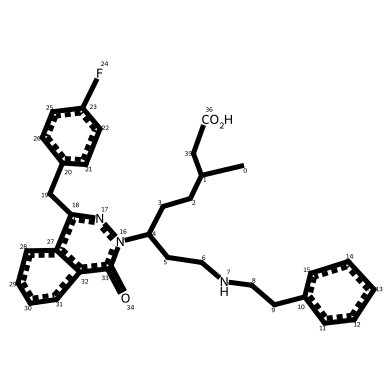 CC(CCC(CCNCCc1ccccc1)n1nc(Cc2ccc(F)cc2)c2ccccc2c1=O)CC(=O)O